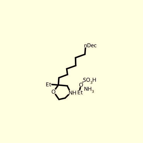 CCCCCCCCCCCCCCCCC1(CC)CNCCO1.CCOS(=O)(=O)O.N